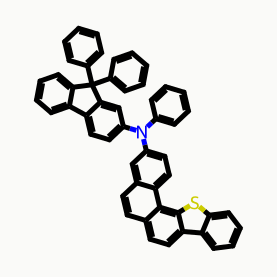 c1ccc(N(c2ccc3c(c2)C(c2ccccc2)(c2ccccc2)c2ccccc2-3)c2ccc3c(ccc4ccc5c6ccccc6sc5c43)c2)cc1